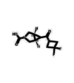 O=C(O)N1C[C@@H]2C(C(=O)N3CC(F)(F)C3)[C@@H]2C1